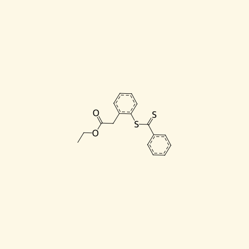 CCOC(=O)Cc1ccccc1SC(=S)c1ccccc1